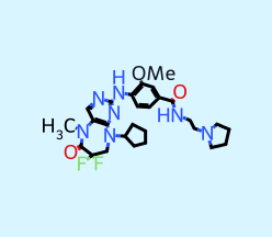 COc1cc(C(=O)NCCN2CCCC2)ccc1Nc1ncc2c(n1)N(C1CCCC1)CC(F)(F)C(=O)N2C